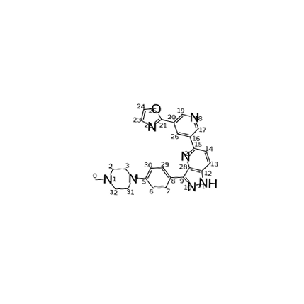 CN1CCN(c2ccc(-c3n[nH]c4ccc(-c5cncc(-c6ncco6)c5)nc34)cc2)CC1